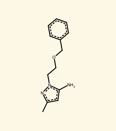 Cc1cc(N)n(CCOCc2ccccc2)n1